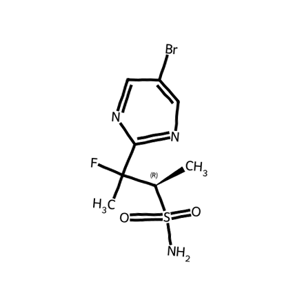 C[C@H](C(C)(F)c1ncc(Br)cn1)S(N)(=O)=O